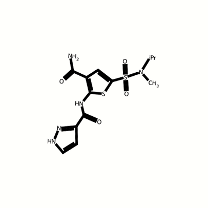 CC(C)N(C)S(=O)(=O)c1cc(C(N)=O)c(NC(=O)c2cc[nH]n2)s1